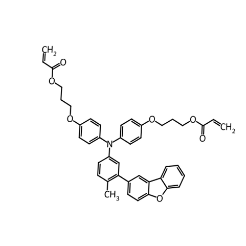 C=CC(=O)OCCCOc1ccc(N(c2ccc(OCCCOC(=O)C=C)cc2)c2ccc(C)c(-c3ccc4oc5ccccc5c4c3)c2)cc1